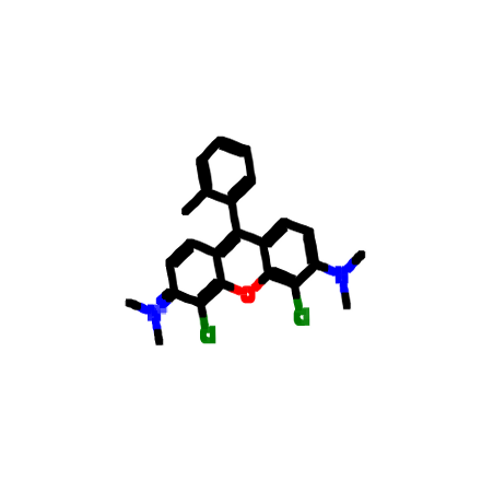 Cc1ccccc1-c1c2ccc(=[N+](C)C)c(Cl)c-2oc2c(Cl)c(N(C)C)ccc12